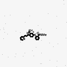 CNC(=O)c1ccccc1SC1=Cc2c(c(/C=C/c3ccccn3)nn2C)CC1